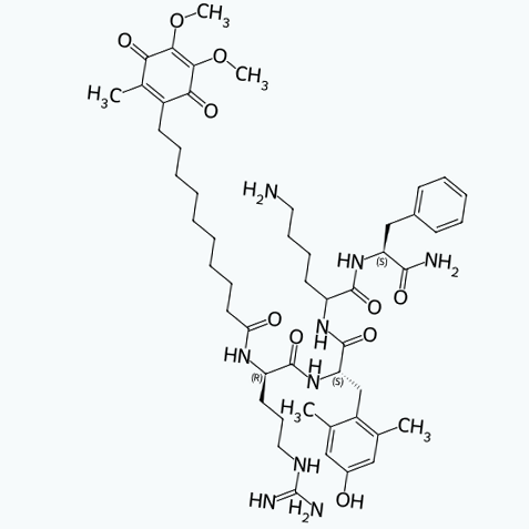 COC1=C(OC)C(=O)C(CCCCCCCCCC(=O)N[C@H](CCCNC(=N)N)C(=O)N[C@@H](Cc2c(C)cc(O)cc2C)C(=O)NC(CCCCN)C(=O)N[C@@H](Cc2ccccc2)C(N)=O)=C(C)C1=O